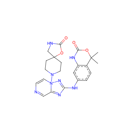 CC1(C)OC(=O)Nc2cc(NC3=N[N+]4(N5CCC6(CC5)CNC(=O)O6)C=CN=CC4=N3)ccc21